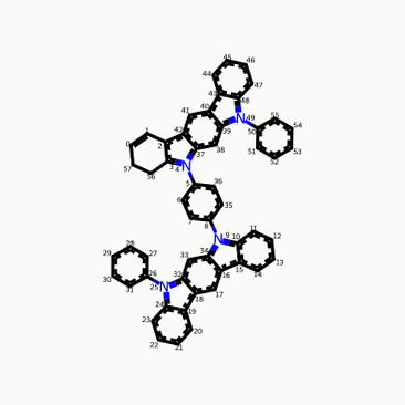 C1=Cc2c(n(-c3ccc(-n4c5ccccc5c5cc6c7ccccc7n(-c7ccccc7)c6cc54)cc3)c3cc4c(cc23)c2ccccc2n4-c2ccccc2)CC1